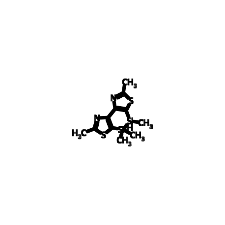 Cc1nc2c(s1)[SiH](C)[Si](C)(C)c1sc(C)nc1-2